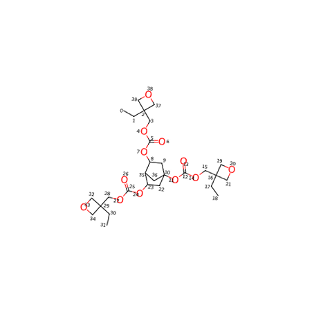 CCC1(COC(=O)OC2CC3(OC(=O)OCC4(CC)COC4)CC(OC(=O)OCC4(CC)COC4)C2C3)COC1